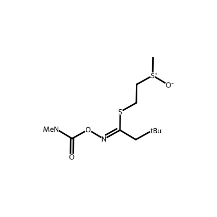 CNC(=O)ON=C(CC(C)(C)C)SCC[S+](C)[O-]